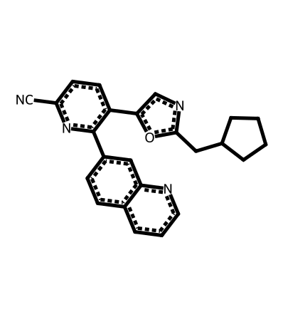 N#Cc1ccc(-c2cnc(CC3CCCC3)o2)c(-c2ccc3cccnc3c2)n1